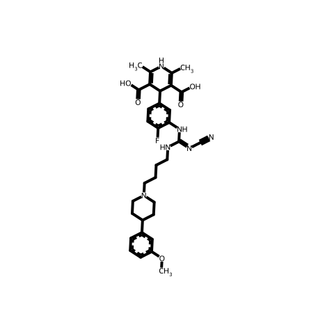 COc1cccc(C2CCN(CCCCNC(=NC#N)Nc3cc(C4C(C(=O)O)=C(C)NC(C)=C4C(=O)O)ccc3F)CC2)c1